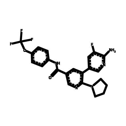 Nc1ncc(-c2cc(C(=O)Nc3ccc(OC(F)(F)F)cc3)cnc2N2CCCC2)cc1F